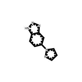 [c]1c(-n2cccn2)ccc2[nH]nnc12